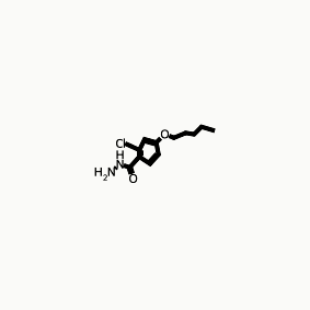 CCCCCOc1ccc(C(=O)NN)c(Cl)c1